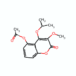 COc1c(OC(C)C)c2c(OC(C)=O)cccc2oc1=O